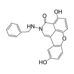 O=c1c2c(O)ccc3c2c(cn1NCc1ccccc1)-c1cc(O)ccc1O3